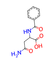 NC(=O)CC(NC(=O)c1ccccc1)C(=O)O